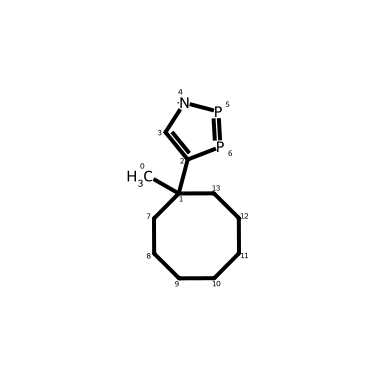 CC1(C2=C[N]P=P2)CCCCCCC1